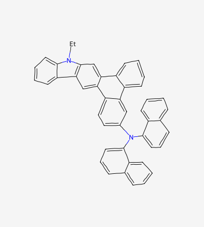 CCn1c2ccccc2c2cc3c4ccc(N(c5cccc6ccccc56)c5cccc6ccccc56)cc4c4ccccc4c3cc21